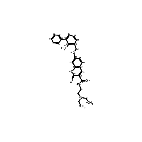 CCN(CC)CCNC(=O)c1cc2ccc(OCc3cccc(-c4ccccc4)c3C)cc2oc1=O